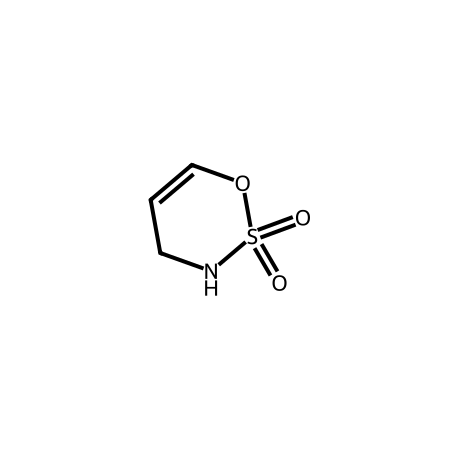 O=S1(=O)NCC=CO1